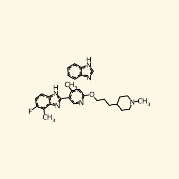 Cc1cc(OCCCC2CCN(C)CC2)ncc1-c1nc2c(C)c(F)ccc2[nH]1.c1ccc2[nH]cnc2c1